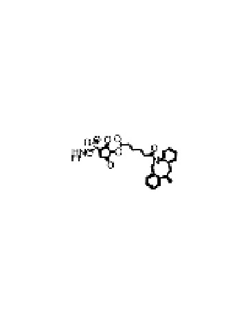 C=C1Cc2ccccc2N(C(=O)CCCCC(=O)OC2C(=O)CC(S(=O)(=O)ONCC)C2=O)Cc2ccccc21